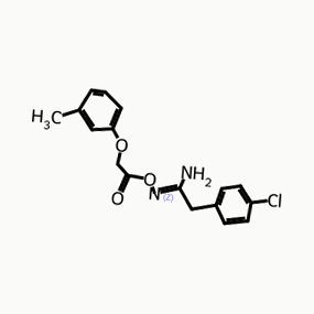 Cc1cccc(OCC(=O)O/N=C(\N)Cc2ccc(Cl)cc2)c1